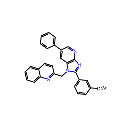 COc1cccc(-c2nc3ncc(-c4ccccc4)cc3n2Cc2ccc3ccccc3n2)c1